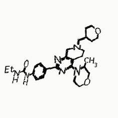 CCNC(=O)Nc1ccc(-c2nc3c(c(N4CCOCC4C)n2)CCN(CC2CCOCC2)C3)cc1